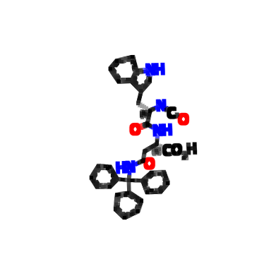 O=C=N[C@@H](Cc1c[nH]c2ccccc12)C(=O)N[C@@H](CC(=O)NC(c1ccccc1)(c1ccccc1)c1ccccc1)C(=O)O